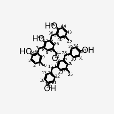 Cc1ccc(O)c(Cc2cc(COc3c(Cc4ccc(O)cc4)cc(C)cc3Cc3ccc(O)cc3)cc(Cc3cc(C)ccc3O)c2O)c1